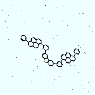 c1cccc(-c2ccc3c4c2ccc2ccc(C5=CC(c6ccc7sc8ccc(-c9cccc(-c%10ccc%11ccc%12c%13c(ccc%10c%11%13)=CCC%12c%10ccccc%10)c9)cc8c7c6)CC=C5)c(c24)CC3)c#1